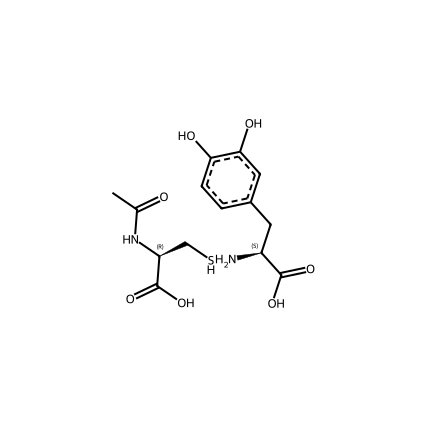 CC(=O)N[C@@H](CS)C(=O)O.N[C@@H](Cc1ccc(O)c(O)c1)C(=O)O